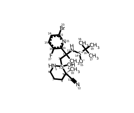 CC(CS1(O)NCCC[C@]1(C)C#N)(N[S+]([O-])C(C)(C)C)c1nc(Br)ccc1F